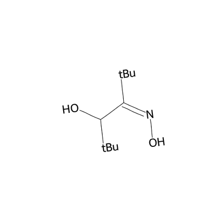 CC(C)(C)C(=NO)C(O)C(C)(C)C